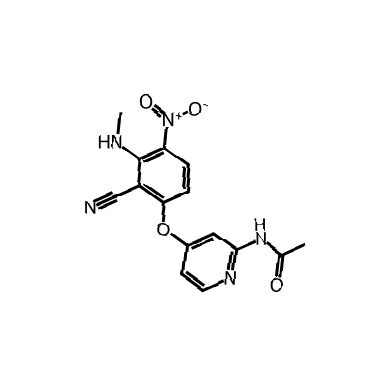 CNc1c([N+](=O)[O-])ccc(Oc2ccnc(NC(C)=O)c2)c1C#N